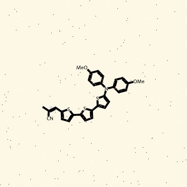 COc1ccc(N(c2ccc(OC)cc2)c2ccc(-c3ccc(-c4ccc(/C=C(/C)C#N)s4)s3)s2)cc1